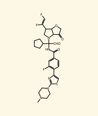 CN1CCN(c2nc(-c3ccc(C(=O)NC(C=O)(C4CCCC4)N4CC(C(F)=CF)C5OCC(=O)C54)cc3F)cs2)CC1